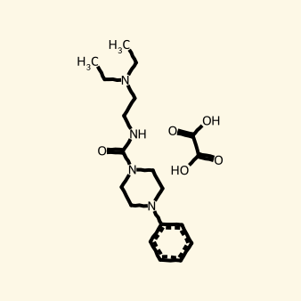 CCN(CC)CCNC(=O)N1CCN(c2ccccc2)CC1.O=C(O)C(=O)O